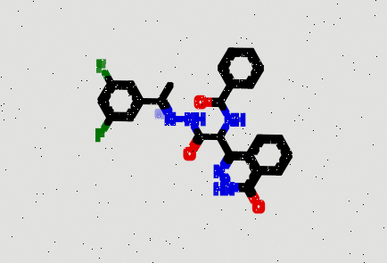 C/C(=N\NC(=O)C(NC(=O)c1ccccc1)c1n[nH]c(=O)c2ccccc12)c1cc(F)cc(F)c1